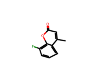 Cc1cc(=O)oc2c(F)cccc12